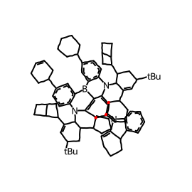 CC(C)(C)C1C=C(C2CC3CCC32)C(N2C3=C4B(c5cc(C6CC=CCC6)ccc52)c2cc(C5CCCCC5)ccc2N(C2C(C5CC=CCC5)=CC(C(C)(C)C)CC2C2CC5CCC52)C4=C[C@H](N2C4=CCCCC4c4ccccc42)C3)C(C2CCCC2)C1